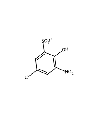 O=[N+]([O-])c1cc(Cl)cc(S(=O)(=O)O)c1O